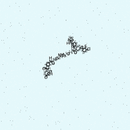 NC(COCCOCCNC(=O)[C@]1(Cc2cccc(Nc3nccs3)n2)CC[C@@H](Oc2cccc(Cl)c2F)CC1)COCCC(=O)Nc1ccc2c(c1)CN(C1CCC(=O)NC1=O)C2=O